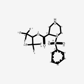 O=C(OC(C(F)(F)F)C(F)(F)F)C1CNCCN1S(=O)(=O)c1ccccc1